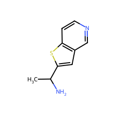 CC(N)c1cc2cnccc2s1